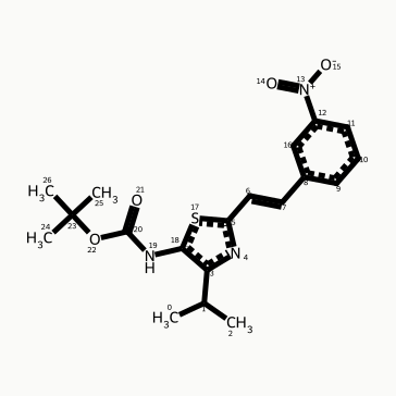 CC(C)c1nc(C=Cc2cccc([N+](=O)[O-])c2)sc1NC(=O)OC(C)(C)C